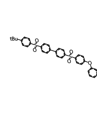 CC(C)(C)c1ccc(S(=O)(=O)c2ccc(-c3ccc(S(=O)(=O)c4ccc(Oc5ccccc5)cc4)cc3)cc2)cc1